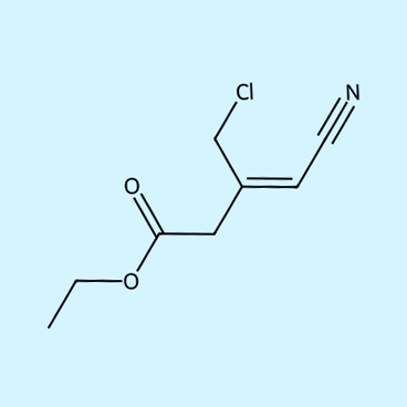 CCOC(=O)CC(=CC#N)CCl